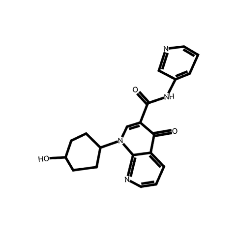 O=C(Nc1cccnc1)c1cn(C2CCC(O)CC2)c2ncccc2c1=O